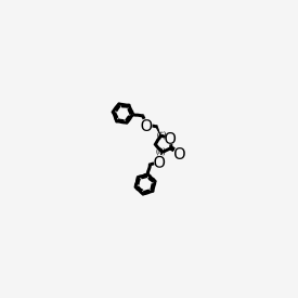 O=C1O[C@H](COCc2ccccc2)C[C@H]1OCc1ccccc1